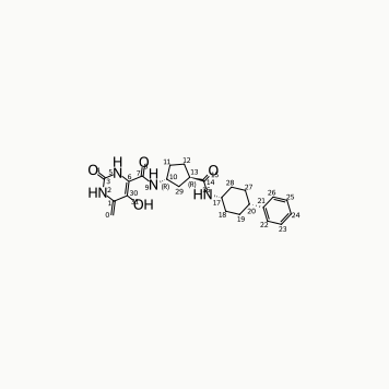 C=C1NC(=O)NC(C(=O)N[C@@H]2CC[C@@H](C(=O)N[C@H]3CC[C@@H](c4ccccc4)CC3)C2)=C1O